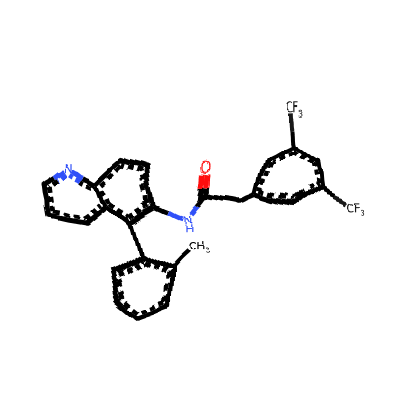 Cc1ccccc1-c1c(NC(=O)Cc2cc(C(F)(F)F)cc(C(F)(F)F)c2)ccc2ncccc12